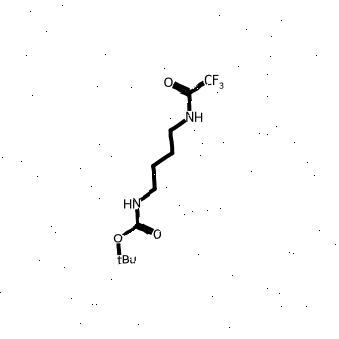 CC(C)(C)OC(=O)NCCCCNC(=O)C(F)(F)F